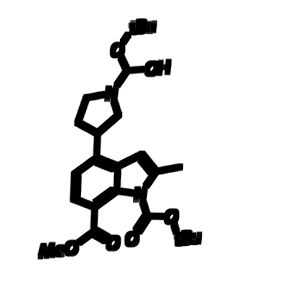 COC(=O)c1ccc(C2CCN(C(O)OC(C)(C)C)C2)c2cc(C)n(C(=O)OC(C)(C)C)c12